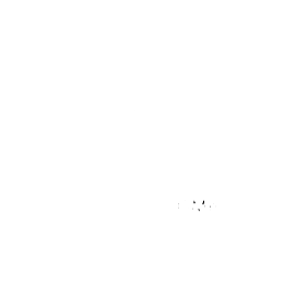 COC1CCC(C)C(C)C1C